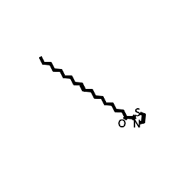 CCCCCCCCC=CCCCCCCCC(=O)c1nccs1